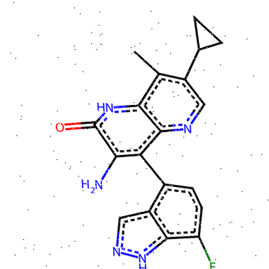 Cc1c(C2CC2)cnc2c(-c3ccc(F)c4[nH]ncc34)c(N)c(=O)[nH]c12